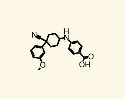 COc1cccc(C2(C#N)CCC(Nc3ccc(C(=O)O)cc3)CC2)c1